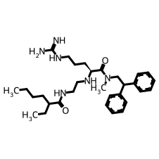 CCCCC(CC)C(=O)NCCN[C@@H](CCCNC(=N)N)C(=O)N(C)CC(c1ccccc1)c1ccccc1